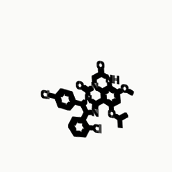 COc1cc(OC(C)C)c2c3c1NC(=O)CN3C(=O)N1C2=NC(c2ccccc2Cl)C1c1ccc(Cl)cc1